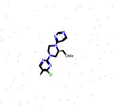 COC[C@H]1CN(c2ncc(I)c(Cl)n2)CCN1c1ccncn1